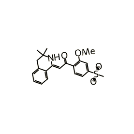 COc1cc(S(C)(=O)=O)ccc1C(=O)/C=C1\NC(C)(C)Cc2ccccc21